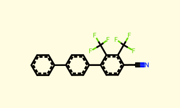 N#Cc1ccc(-c2ccc(-c3ccccc3)cc2)c(C(F)(F)F)c1C(F)(F)F